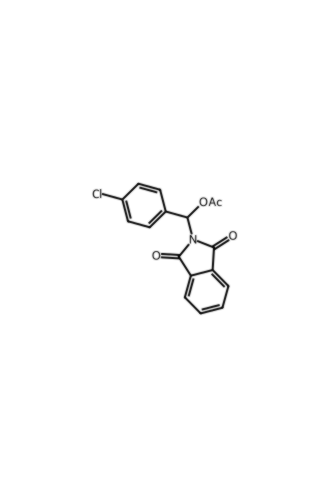 CC(=O)OC(c1ccc(Cl)cc1)N1C(=O)c2ccccc2C1=O